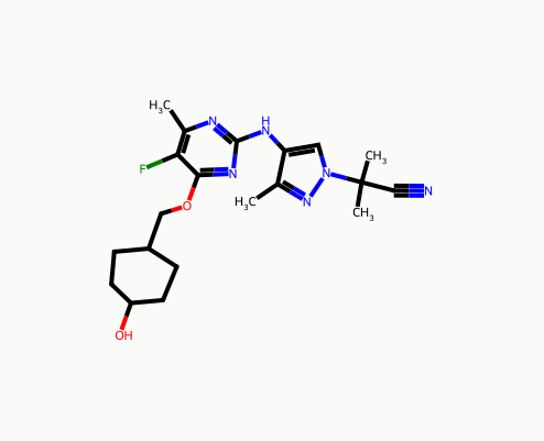 Cc1nn(C(C)(C)C#N)cc1Nc1nc(C)c(F)c(OCC2CCC(O)CC2)n1